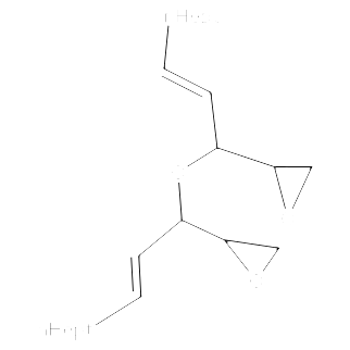 CCCCCCC/C=C/C(OC(/C=C/CCCCCCC)C1CO1)C1CO1